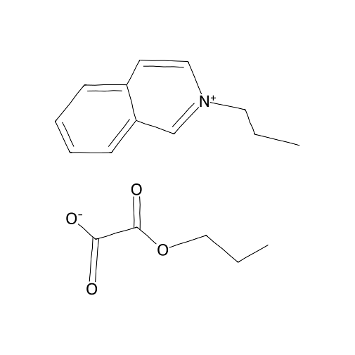 CCCOC(=O)C(=O)[O-].CCC[n+]1ccc2ccccc2c1